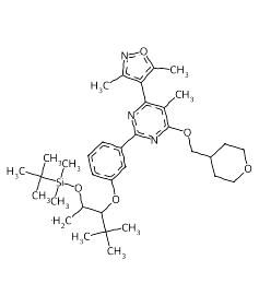 [CH2]C(O[Si](C)(C)C(C)(C)C)C(Oc1cccc(-c2nc(OCC3CCOCC3)c(C)c(-c3c(C)noc3C)n2)c1)C(C)(C)C